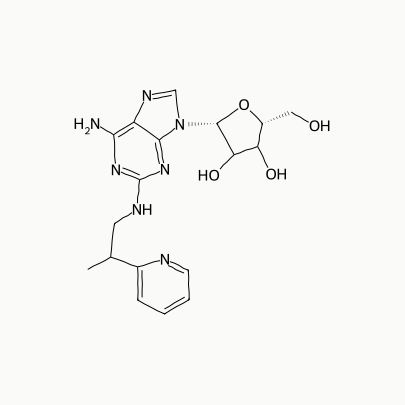 CC(CNc1nc(N)c2ncn([C@@H]3O[C@H](CO)C(O)C3O)c2n1)c1ccccn1